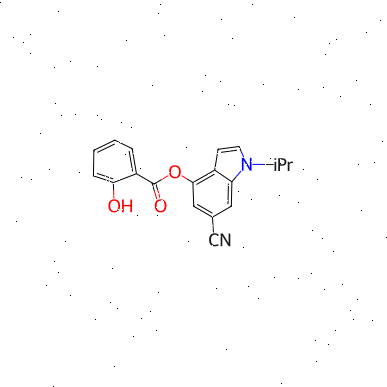 CC(C)n1ccc2c(OC(=O)c3ccccc3O)cc(C#N)cc21